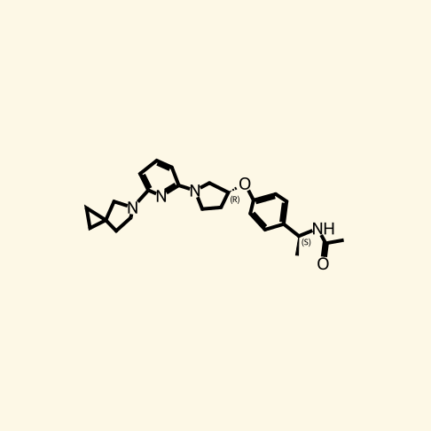 CC(=O)N[C@@H](C)c1ccc(O[C@@H]2CCN(c3cccc(N4CCC5(CC5)C4)n3)C2)cc1